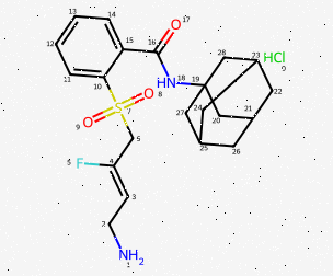 Cl.NC/C=C(\F)CS(=O)(=O)c1ccccc1C(=O)NC12CC3CC(CC(C3)C1)C2